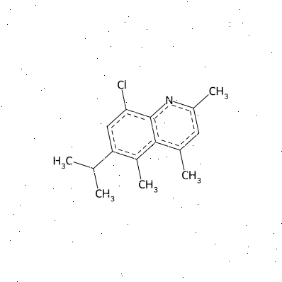 Cc1cc(C)c2c(C)c(C(C)C)cc(Cl)c2n1